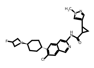 Cn1cc(C2CC2C(=O)Nc2cc3cc([C@H]4CC[C@H](N5CC(F)C5)CC4)c(Cl)cc3cn2)cn1